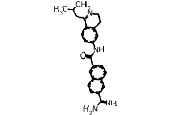 CC(C)CC1=NCCc2cc(NC(=O)c3ccc4cc(C(=N)N)ccc4c3)ccc21